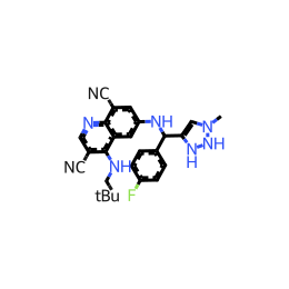 CN1C=C(C(Nc2cc(C#N)c3ncc(C#N)c(NCC(C)(C)C)c3c2)c2ccc(F)cc2)NN1